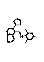 Cc1cc(C)c(/N=C/c2c(C3=CC=CC3)ccc3ccccc23)c(C)c1